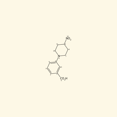 O=C(O)c1cccc(N2CCC([N+](=O)[O-])CC2)c1